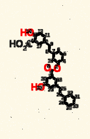 O=C(Oc1cccc(/C=C/c2ccc(O)c(C(=O)O)c2)c1)c1cc(O)cc(/C=C/c2ccccc2)c1